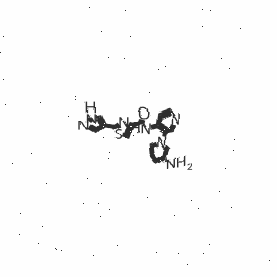 N[C@@H]1CCCN(c2cnccc2NC(=O)c2csc(-c3cn[nH]c3)n2)C1